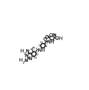 CCc1c(CNc2ccc(C(=O)NC(CC(=O)O)C(=O)O)cc2)ccc2nc(N)nc(N)c12